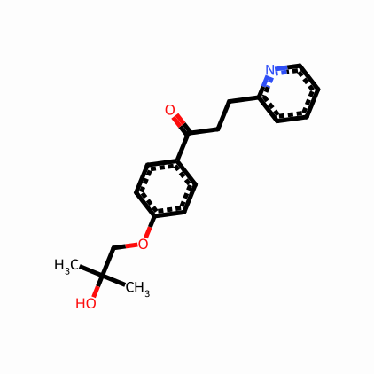 CC(C)(O)COc1ccc(C(=O)CCc2ccccn2)cc1